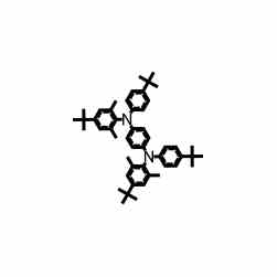 Cc1cc(C(C)(C)C)cc(C)c1N(c1ccc(N(c2ccc(C(C)(C)C)cc2)c2c(C)cc(C(C)(C)C)cc2C)cc1)c1ccc(C(C)(C)C)cc1